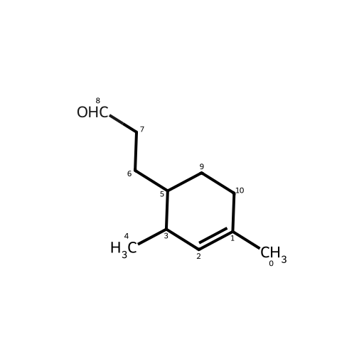 CC1=CC(C)C(CCC=O)CC1